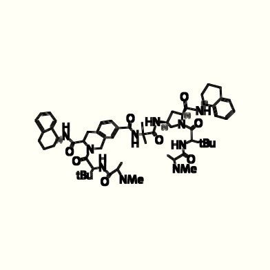 CNC(C)C(=O)NC(C(=O)N1Cc2cc(C(=O)NC(C)(C)C(=O)N[C@H]3C[C@@H](C(=O)N[C@@H]4CCCc5ccccc54)N(C(=O)C(NC(=O)C(C)NC)C(C)(C)C)C3)ccc2CC1C(=O)N[C@@H]1CCCc2ccccc21)C(C)(C)C